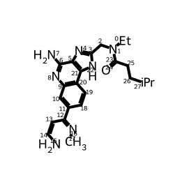 CCN(Cc1nc2c(N)nc3cc(C(/C=C\N)=N/C)ccc3c2[nH]1)C(=O)CCC(C)C